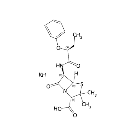 CC[C@H](Oc1ccccc1)C(=O)N[C@@H]1C(=O)N2[C@@H]1SC(C)(C)[C@@H]2C(=O)O.[KH]